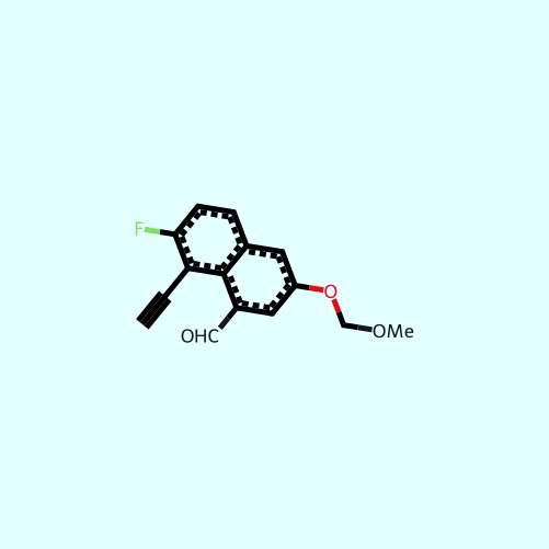 C#Cc1c(F)ccc2cc(OCOC)cc(C=O)c12